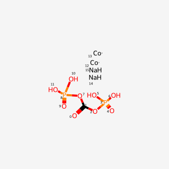 O=C(OP(=O)(O)O)OP(=O)(O)O.[Co].[Co].[NaH].[NaH]